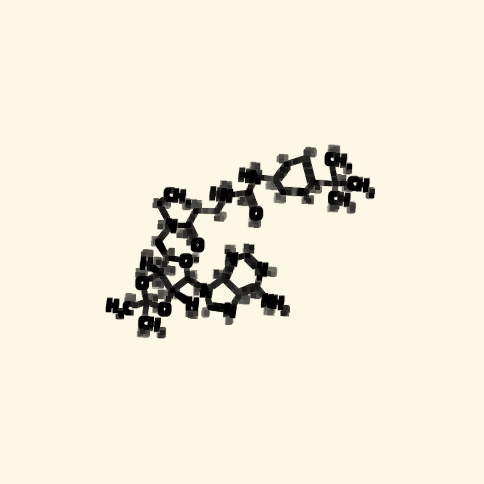 CCN(C[C@H]1OC(n2cnc3c(N)ncnc32)[C@@H]2OC(C)(C)O[C@H]12)C(=O)CCNC(=O)Nc1ccc(C(C)(C)C)cc1